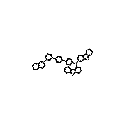 c1cc(-c2ccc(-c3ccc(N(c4ccc5c(c4)oc4ccccc45)c4cccc5oc6ccccc6c45)cc3)cc2)cc(-c2ccc3ccccc3c2)c1